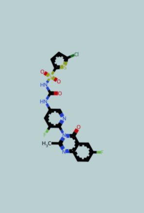 Cc1nc2ccc(F)cc2c(=O)n1-c1ncc(NC(=O)NS(=O)(=O)c2ccc(Cl)s2)cc1F